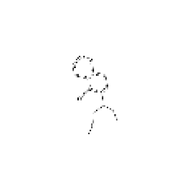 CCC(COC)n1ccc2ccccc2c1=O